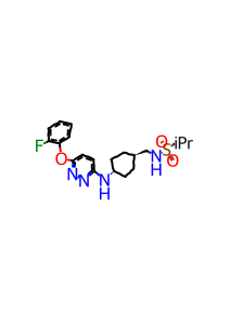 CC(C)S(=O)(=O)NC[C@H]1CC[C@H](Nc2ccc(Oc3ccccc3F)nn2)CC1